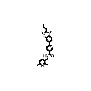 CCCC(=O)N(C)c1ccc(-c2ccc(C(=O)NCc3ccc(C)nc3C)cn2)cc1F